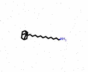 NCCCCCCCCCCCCC12CC3CC(CC(C3)C1)C2